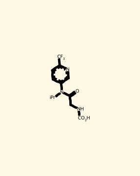 CC(C)N(C(=O)CNC(=O)O)c1ccc(C(F)(F)F)nc1